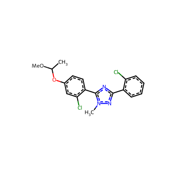 COC(C)Oc1ccc(-c2nc(-c3ccccc3Cl)nn2C)c(Cl)c1